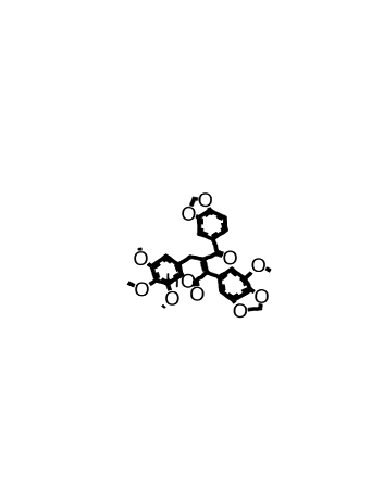 COc1cc(C/C(C(=O)c2ccc3c(c2)OCO3)=C(\C(=O)O)c2cc(OC)c3c(c2)OCO3)cc(OC)c1OC